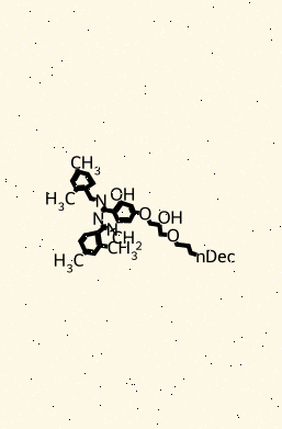 C=N/C(=N\C(=N/Cc1ccc(C)cc1C)c1ccc(OCC(O)COCCCCCCCCCCCCC)cc1O)c1ccc(C)cc1C